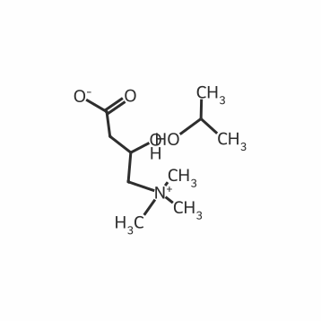 CC(C)O.C[N+](C)(C)CC(O)CC(=O)[O-]